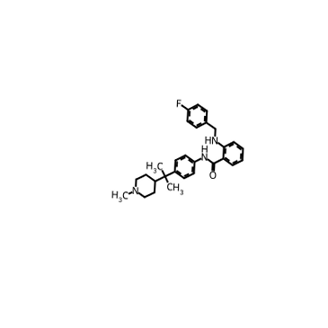 CN1CCC(C(C)(C)c2ccc(NC(=O)c3ccccc3NCc3ccc(F)cc3)cc2)CC1